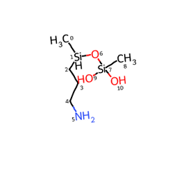 C[SiH](CCCN)O[Si](C)(O)O